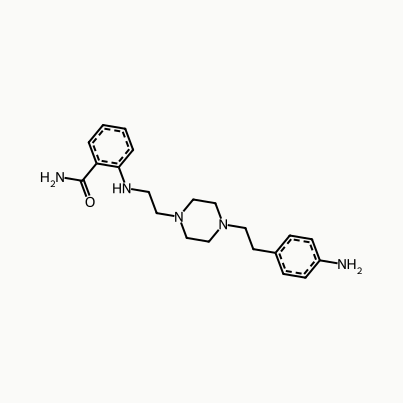 NC(=O)c1ccccc1NCCN1CCN(CCc2ccc(N)cc2)CC1